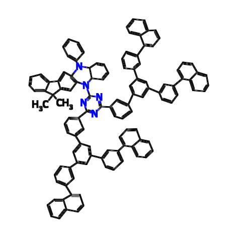 CC1(C)c2ccccc2-c2cc3c(cc21)N(c1nc(-c2cccc(-c4cc(-c5cccc(-c6cccc7ccccc67)c5)cc(-c5cccc(-c6cccc7ccccc67)c5)c4)c2)nc(-c2cccc(-c4cc(-c5cccc(-c6cccc7ccccc67)c5)cc(-c5cccc(-c6cccc7ccccc67)c5)c4)c2)n1)C1C=CC=CC1N3c1ccccc1